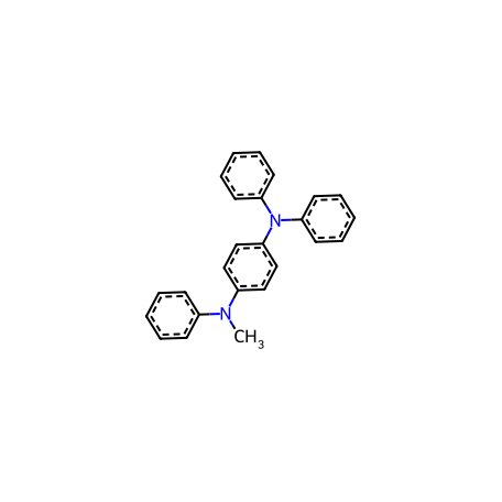 CN(c1ccccc1)c1ccc(N(c2ccccc2)c2ccccc2)cc1